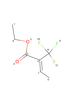 CC=C(C(=O)OCC)C(F)(F)F